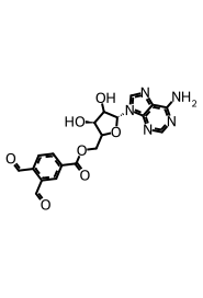 Nc1ncnc2c1ncn2[C@@H]1OC(COC(=O)c2ccc(C=O)c(C=O)c2)[C@@H](O)C1O